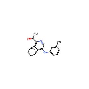 N#Cc1cccc(Nc2cnc(C(=O)N=O)c3c2C2CCC3C2)c1